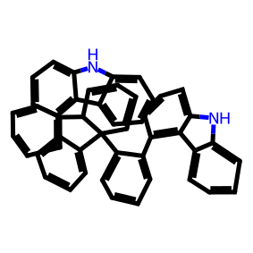 C1=CC(c2ccccc2)C(c2ccccc2-c2cccc3[nH]c4ccccc4c23)(c2ccccc2-c2cccc3[nH]c4ccccc4c23)C=C1